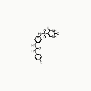 O=C(Nc1ccc(Cl)cc1)Nc1ccc(NS(=O)(=O)c2c[nH]c(=O)[nH]c2=O)cc1